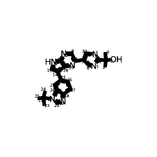 CC(C)(O)c1ncc(-c2cnc3[nH]cc(-c4ccc5ncn(C(C)(C)C)c5c4)c3n2)cn1